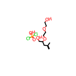 C=C(C)CC(CO)OCCOCCO.O=P(O)(Cl)Cl